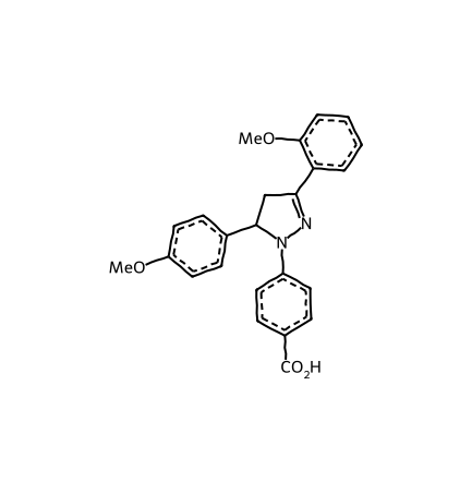 COc1ccc(C2CC(c3ccccc3OC)=NN2c2ccc(C(=O)O)cc2)cc1